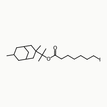 CC1CC2CC(C1)CC(C)(C(C)(C)OC(=O)CCCCCCI)C2